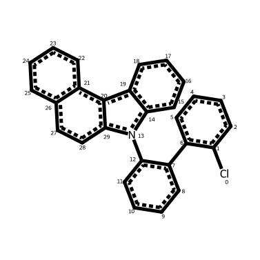 Clc1ccccc1-c1ccccc1-n1c2ccccc2c2c3ccccc3ccc21